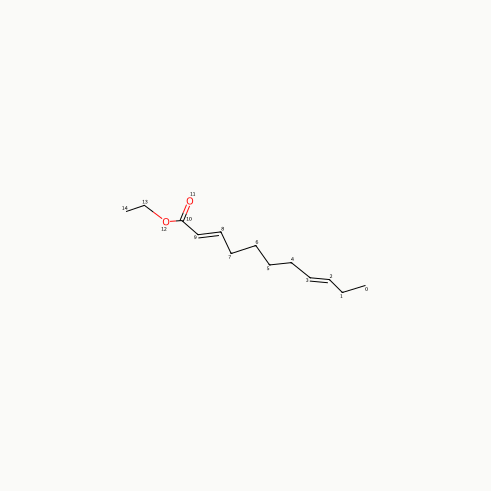 CCC=CCCCCC=CC(=O)OCC